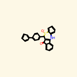 O=C1C2=C(Nc3ccccc3[S+]([O-])C2c2ccc(-c3ccccc3)cc2)c2ccccc21